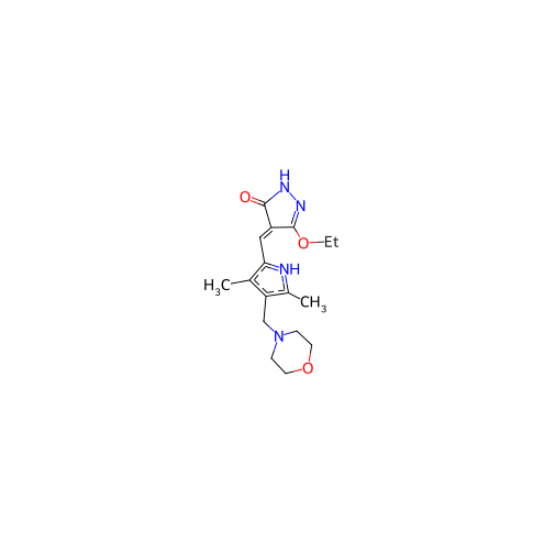 CCOC1=NNC(=O)C1=Cc1[nH]c(C)c(CN2CCOCC2)c1C